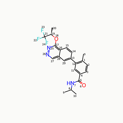 Cc1ccc(C(=O)NC(C)C)cc1-c1ccc2c(O[C@H](C)C(F)(F)F)nncc2c1